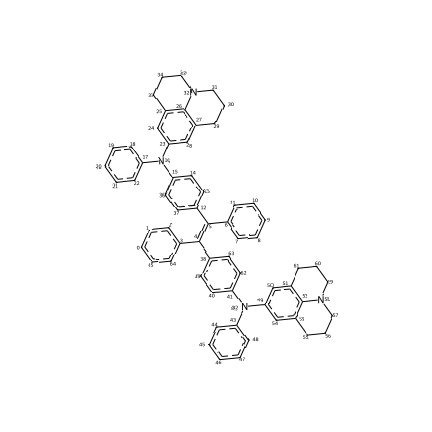 c1ccc(/C(=C(/c2ccccc2)c2ccc(N(c3ccccc3)c3cc4c5c(c3)CCCN5CCC4)cc2)c2ccc(N(c3ccccc3)c3cc4c5c(c3)CCCN5CCC4)cc2)cc1